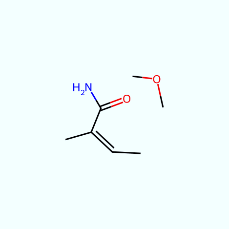 CC=C(C)C(N)=O.COC